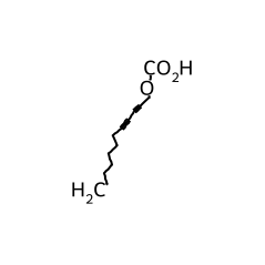 C=CCCCCCC#CC#CCOCC(=O)O